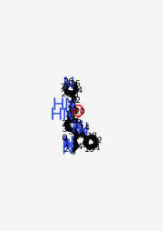 Cn1nccc1-c1c(-c2ccccc2)nn2cc(NC(=O)NCc3ccncc3)ccc12